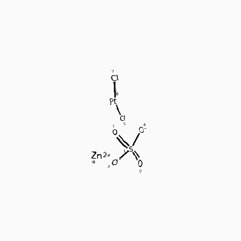 O=S(=O)([O-])[O-].[Cl][Pt][Cl].[Zn+2]